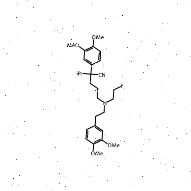 COc1ccc(CCN(CCF)CCCC(C#N)(c2ccc(OC)c(OC)c2)C(C)C)cc1OC